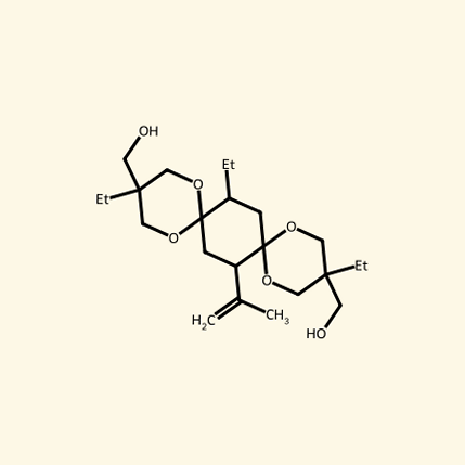 C=C(C)C1CC2(OCC(CC)(CO)CO2)C(CC)CC12OCC(CC)(CO)CO2